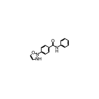 O=C(Nc1ccccc1)c1ccc(N2NC=CO2)cc1